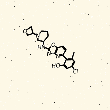 Cc1cc(Cl)cc(O)c1-c1ccc2oc(NC3CCCN(C4COC4)C3)nc2n1